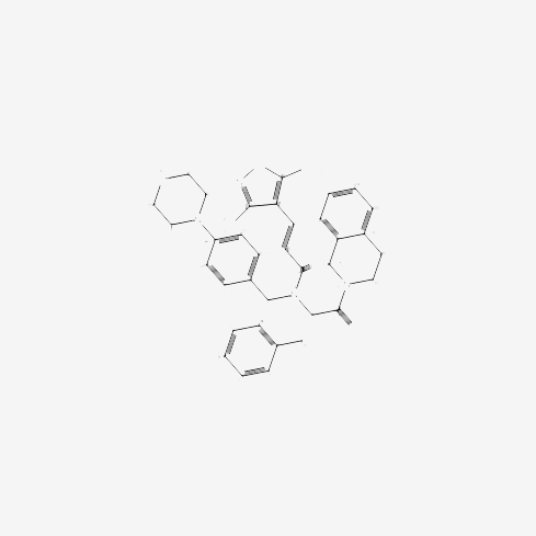 Cc1noc(C)c1C=CC(=O)N(Cc1ccc(N2CCOCC2)cc1)[C@@H](Cc1ccccc1)C(=O)N1CCc2ccccc2C1